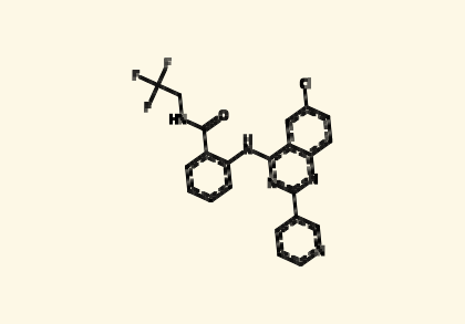 O=C(NCC(F)(F)F)c1ccccc1Nc1nc(-c2cccnc2)nc2ccc(Cl)cc12